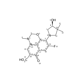 CN1COc2c(N3C[C@@H](O)C(C)(C)C3)c(F)cc3c(=O)c(C(=O)O)cn1c23